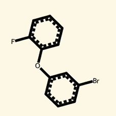 Fc1ccccc1Oc1cccc(Br)c1